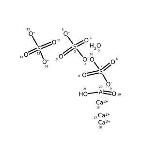 O.O=S(=O)([O-])[O-].O=S(=O)([O-])[O-].O=S(=O)([O-])[O-].[Ca+2].[Ca+2].[Ca+2].[O]=[Al][OH]